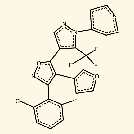 Fc1cccc(Cl)c1-c1noc(-c2cnn(-c3ccncc3)c2C(F)(F)F)c1-c1ccoc1